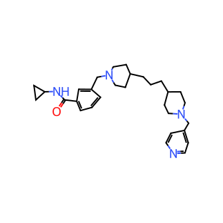 O=C(NC1CC1)c1cccc(CN2CCC(CCCC3CCN(Cc4ccncc4)CC3)CC2)c1